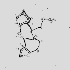 COOC[C@H](c1ccccc1Cl)N1CCc2sccc2C1